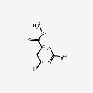 COC(=O)[C@H](CCBr)NC(=O)O